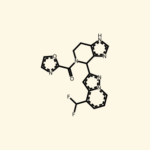 O=C(c1ncco1)N1CCc2[nH]cnc2C1c1cc2c(C(F)F)cccn2n1